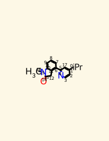 CC(C)c1ccnc(-c2cccc3c2CC(=O)N3C)c1